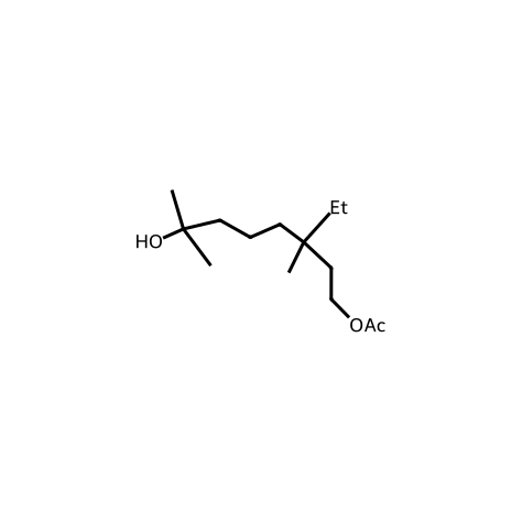 CCC(C)(CCCC(C)(C)O)CCOC(C)=O